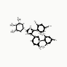 Cc1cc(F)cc(C)c1-n1cc(-c2nc([C@H]3C[C@@H](O)[C@H](O)[C@H](O)C3)oc2-c2ccc(F)cc2F)ccc1=O